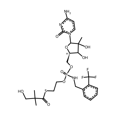 CC(C)(CO)C(=O)SCCOP(=O)(NCc1ccccc1C(F)(F)F)OC[C@H]1OC(n2ccc(N)nc2=O)C(C)(O)C1O